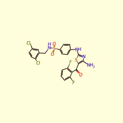 Nc1nc(Nc2ccc(S(=O)(=O)NCc3cc(Cl)ccc3Cl)cc2)sc1C(=O)c1c(F)cccc1F